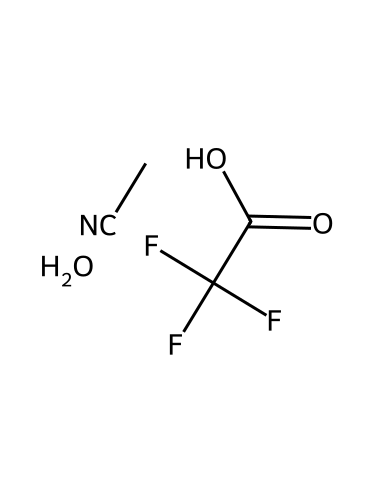 CC#N.O.O=C(O)C(F)(F)F